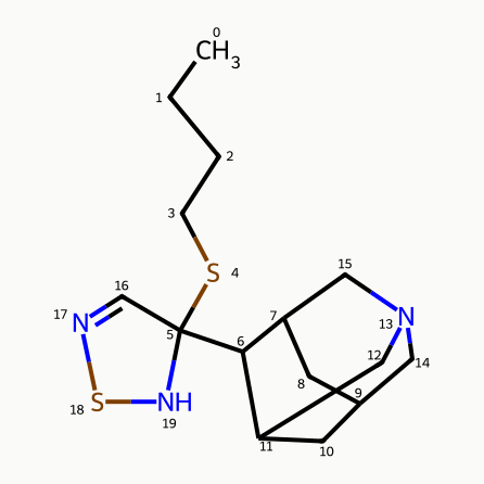 CCCCSC1(C2C3CC4CC2CN(C4)C3)C=NSN1